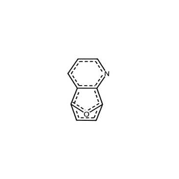 c1cnc2c3ccc(o3)c2c1